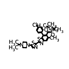 COC(=O)[C@@H](OC(C)(C)C)c1c(C)cc2nc(-c3ncc(N4CCN(C(C)C)CC4)s3)sc2c1-c1ccc(Cl)cc1